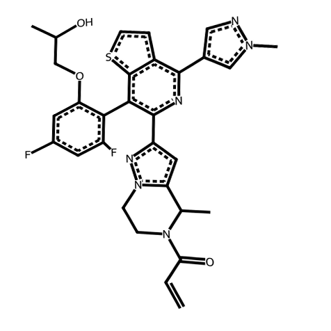 C=CC(=O)N1CCn2nc(-c3nc(-c4cnn(C)c4)c4ccsc4c3-c3c(F)cc(F)cc3OCC(C)O)cc2C1C